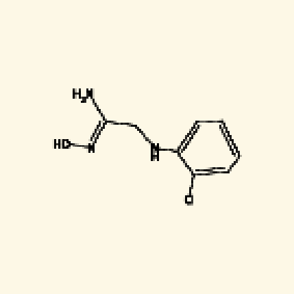 NC(CNc1ccccc1Cl)=NO